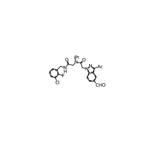 CC(=O)c1nn(CC(=O)N(CC(=O)NCc2cccc(Cl)c2F)C(C)C)c2ccc(C=O)cc12